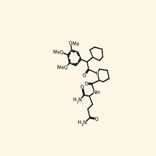 COc1cc(C(C(=O)N2CCCCC2C(=O)NC(CCC(N)=O)C(N)=O)C2CCCCC2)cc(OC)c1OC